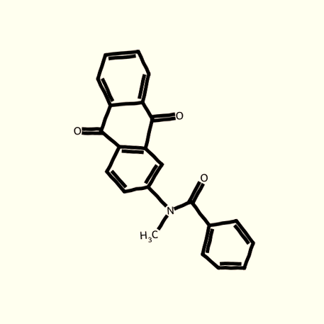 CN(C(=O)c1ccccc1)c1ccc2c(c1)C(=O)c1ccccc1C2=O